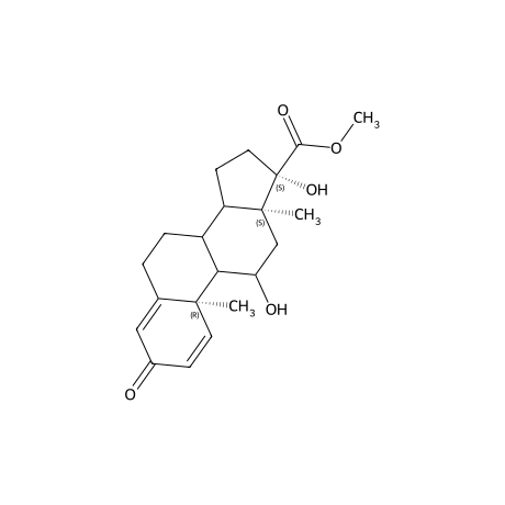 COC(=O)[C@]1(O)CCC2C3CCC4=CC(=O)C=C[C@]4(C)C3C(O)C[C@@]21C